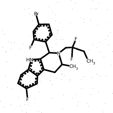 CCC(F)(F)CN1C(C)Cc2c([nH]c3ccc(F)cc23)C1c1ccc(Br)cc1F